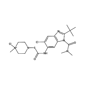 CN(C)C(=O)n1c(C(C)(C)C)nc2cc(Cl)c(NC(=O)SN3CC[N+](C)([O-])CC3)cc21